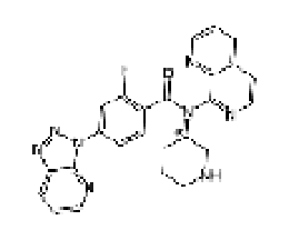 O=C(c1ccc(-n2nnc3cccnc32)cc1F)N(c1nccc2cccnc12)[C@@H]1CCCNC1